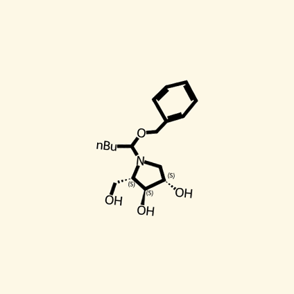 CCCCC(OCc1ccccc1)N1C[C@H](O)[C@@H](O)[C@@H]1CO